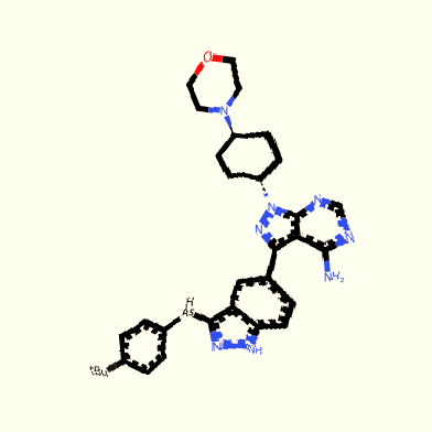 CC(C)(C)c1ccc([AsH]c2n[nH]c3ccc(-c4nn([C@H]5CC[C@H](N6CCOCC6)CC5)c5ncnc(N)c45)cc23)cc1